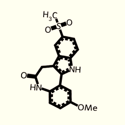 COc1ccc2c(c1)-c1[nH]c3ccc(S(C)(=O)=O)cc3c1CC(=O)N2